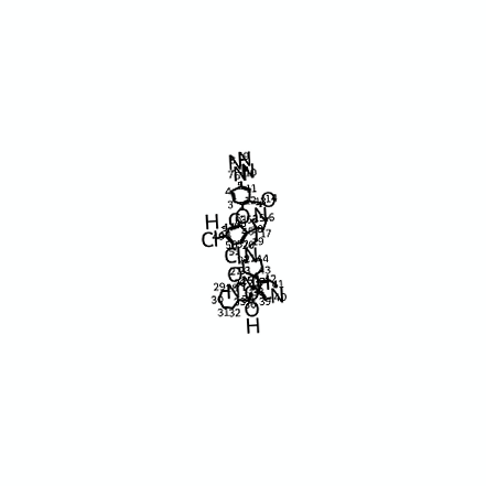 COc1ccc(-n2cnnn2)cc1C(=O)N1CCC(CCN2CCC(NC(=O)N3CCCCC3C(=O)O)(c3ccncc3)CC2)(c2ccc(Cl)c(Cl)c2)C1